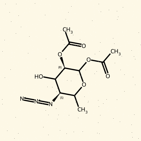 CC(=O)OC1OC(C)[C@@H](N=[N+]=[N-])C(O)[C@H]1OC(C)=O